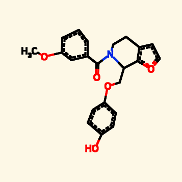 COc1cccc(C(=O)N2CCc3ccoc3C2COc2ccc(O)cc2)c1